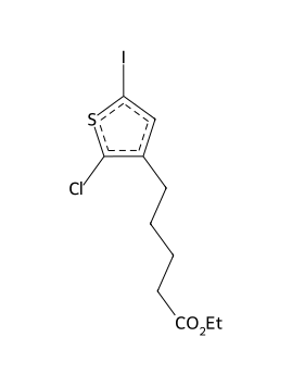 CCOC(=O)CCCCc1cc(I)sc1Cl